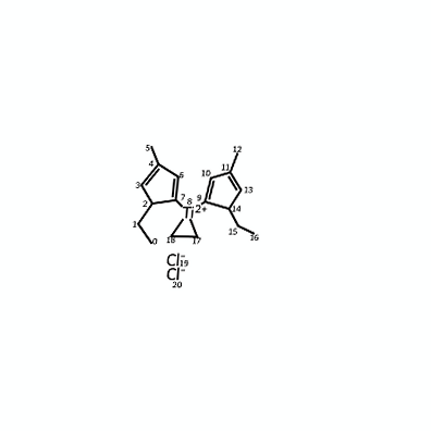 CCC1C=C(C)C=[C]1[Ti+2]1([C]2=CC(C)=CC2CC)[CH2][CH2]1.[Cl-].[Cl-]